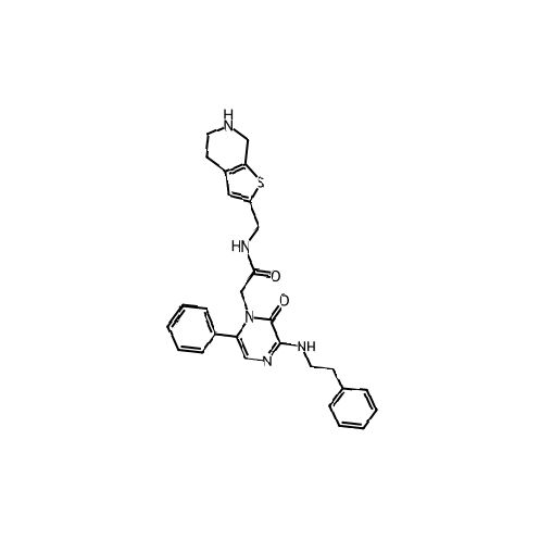 O=C(Cn1c(-c2ccccc2)cnc(NCCc2ccccc2)c1=O)NCc1cc2c(s1)CNCC2